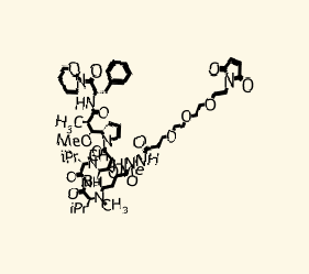 CC[C@H](C)[C@@H]([C@@H](CC(=O)N1CCC[C@H]1[C@H](OC)[C@@H](C)C(=O)N[C@@H](Cc1ccccc1)C(=O)N1CCCCO1)OC)N(C)[C@H](C(=O)NC(=O)[C@H](C(C)C)N(C)CCCC(=O)NNC(=O)CCOCCOCCOCCN1C(=O)C=CC1=O)C(C)C